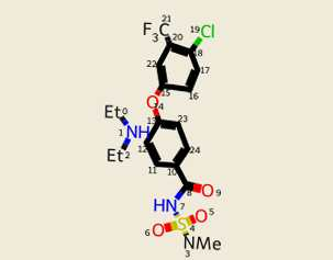 CCNCC.CNS(=O)(=O)NC(=O)c1ccc(Oc2ccc(Cl)c(C(F)(F)F)c2)cc1